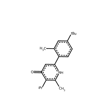 Cc1cc(C(C)(C)C)ccc1-c1cc(=O)c(C(C)C)c(C)[nH]1